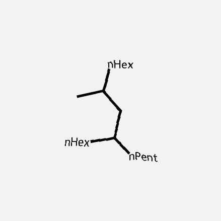 CCCCCCC(C)CC(CCCCC)CCCCCC